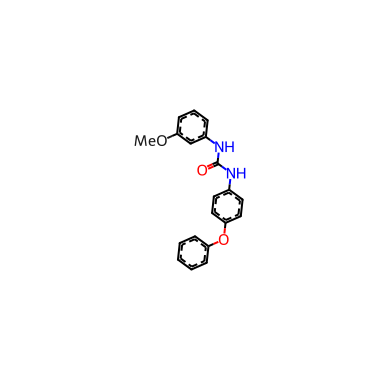 COc1cccc(NC(=O)Nc2ccc(Oc3ccccc3)cc2)c1